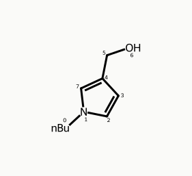 CCCCn1ccc(CO)c1